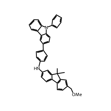 COCc1ccc2c(c1)C(C)(C)c1cc(Nc3ccc(-c4ccc5c(c4)c4ccccc4n5-c4ccccc4)cc3)ccc1-2